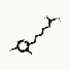 Cc1cc(Br)cnc1CCCCN=C(N)N